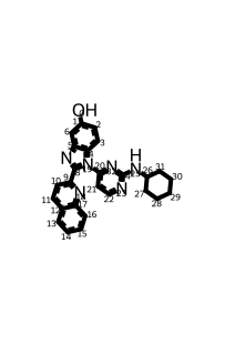 Oc1ccc2c(c1)nc(-c1ccc3ccccc3n1)n2-c1ccnc(NC2CCCCC2)n1